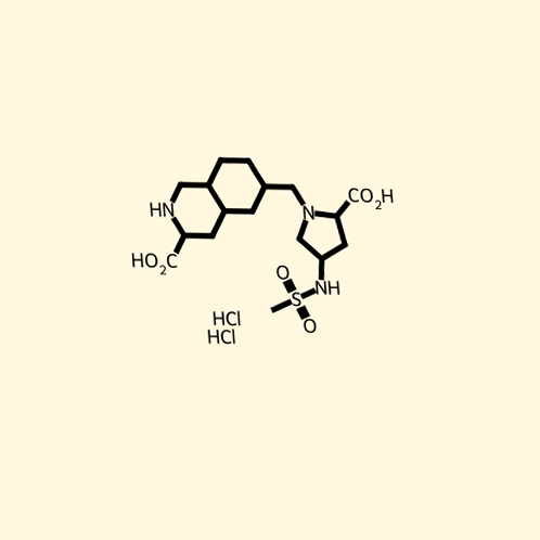 CS(=O)(=O)NC1CC(C(=O)O)N(CC2CCC3CNC(C(=O)O)CC3C2)C1.Cl.Cl